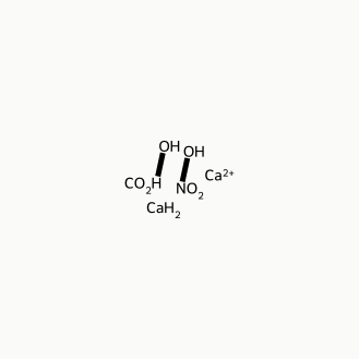 O=C(O)O.O=[N+]([O-])O.[Ca+2].[CaH2]